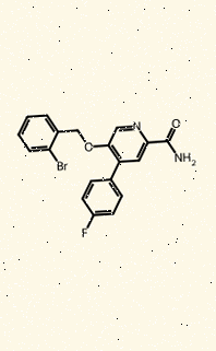 NC(=O)c1cc(-c2ccc(F)cc2)c(OCc2ccccc2Br)cn1